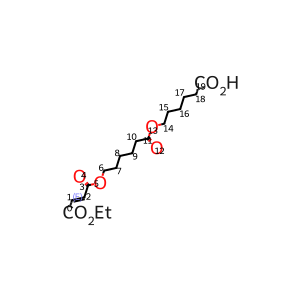 CCOC(=O)/C=C/C(=O)OCCCCCC(=O)OCCCCCC(=O)O